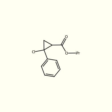 CC(C)OC(=O)C1CC1(Cl)c1ccccc1